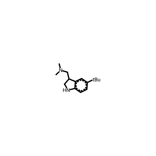 CN(C)CC1CNc2ccc(C(C)(C)C)cc21